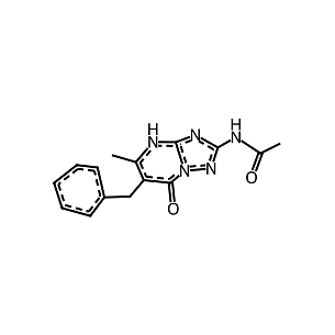 CC(=O)Nc1nc2[nH]c(C)c(Cc3ccccc3)c(=O)n2n1